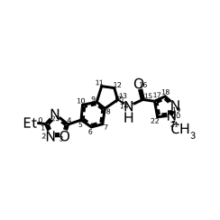 CCc1noc(-c2ccc3c(c2)CC[C@H]3NC(=O)c2cnn(C)c2)n1